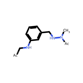 CC(=O)CNc1cccc(CNN(C)C(C)=O)c1